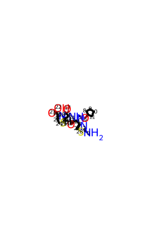 Nc1nc(C(=NOC2CCCC2)C(=O)NC2C(=O)N3C(C(=O)O)=CCS[C@@H]23)cs1